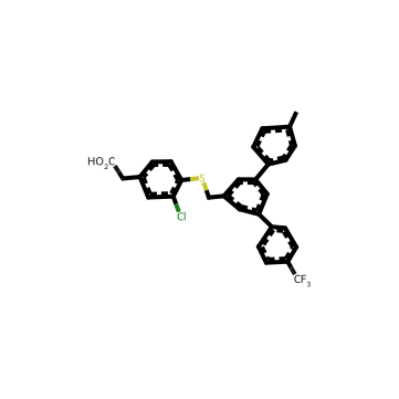 Cc1ccc(-c2cc(CSc3ccc(CC(=O)O)cc3Cl)cc(-c3ccc(C(F)(F)F)cc3)c2)cc1